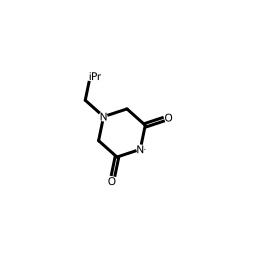 CC(C)CN1CC(=O)[N]C(=O)C1